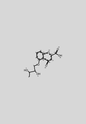 CC(O)C(O)COc1cccc2oc(C(=O)O)cc(=O)c12